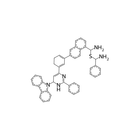 NC(SC(N)c1cccc2cc(C3=CCCC(C4=CC(n5c6ccccc6c6ccccc65)NC(c5ccccc5)=N4)=C3)ccc12)c1ccccc1